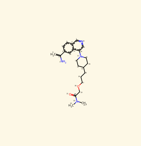 C=C(N)c1ccc2cncc(N3CCC(CCCOCC(=O)N(C)C)CC3)c2c1